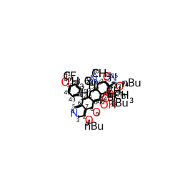 CCCCOc1cncc2c1C(=O)C1=C(O)[C@]3(O[Si](C)(C)C(C)(C)C)C(=O)c4c(OCCCC)noc4[C@@H](N(C)C)[C@@H]3C[C@@H]1[C@H]2c1ccc(OC(F)(F)F)cc1